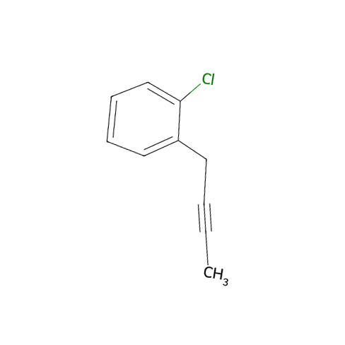 CC#CCc1ccccc1Cl